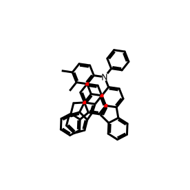 Cc1ccc(N(C2=CC=C3C(=Cc4ccccc43)C23C=CC=C2C3=Cc3ccccc32)c2ccccc2)c(-c2cccc3c2Cc2ccccc2-3)c1C